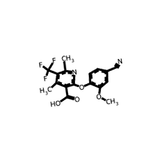 COc1cc(C#N)ccc1Oc1nc(C)c(C(F)(F)F)c(C)c1C(=O)O